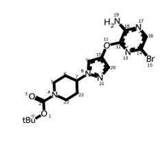 CC(C)(C)OC(=O)N1CCC(n2cc(Oc3nc(Br)cnc3N)cn2)CC1